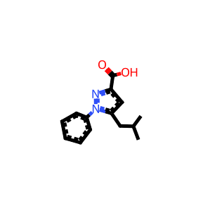 CC(C)Cc1cc(C(=O)O)nn1-c1ccccc1